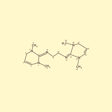 CN1C=CCN(C)C1=NCCN=C1N(C)C=CCN1C